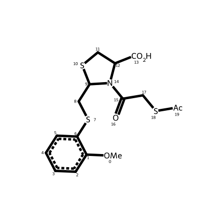 COc1ccccc1SCC1SCC(C(=O)O)N1C(=O)CSC(C)=O